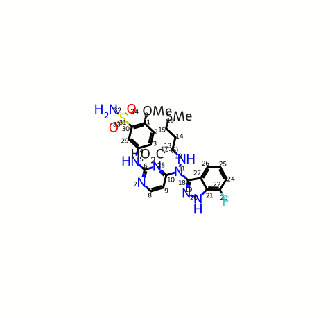 COc1ccc(Nc2nccc(N(N[C@@H](CCSC)C(=O)O)c3n[nH]c4c(F)cccc34)n2)cc1S(N)(=O)=O